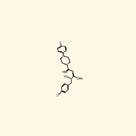 CO/C(=N/C(=N)N1CCN(c2ccc(F)cc2)CC1)N(O)Cc1ccc(Cl)cc1